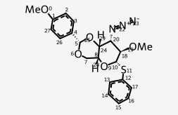 COc1ccc([C@H]2OC[C@H]3O[C@@H](Sc4ccccc4)[C@H](OC)[C@@H](N=[N+]=[N-])[C@H]3O2)cc1